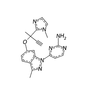 C#CC(C)(Oc1ccc2c(C)nn(-c3ccnc(N)n3)c2c1)c1nccn1C